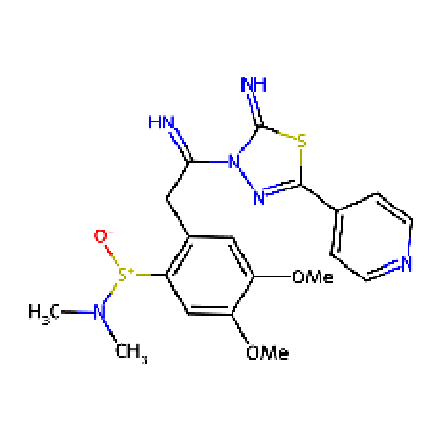 COc1cc(CC(=N)n2nc(-c3ccncc3)sc2=N)c([S+]([O-])N(C)C)cc1OC